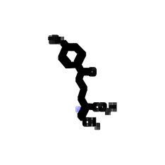 C/C=C(/CCCC(=O)c1ccc(C(C)(C)C)cc1)C(=O)O